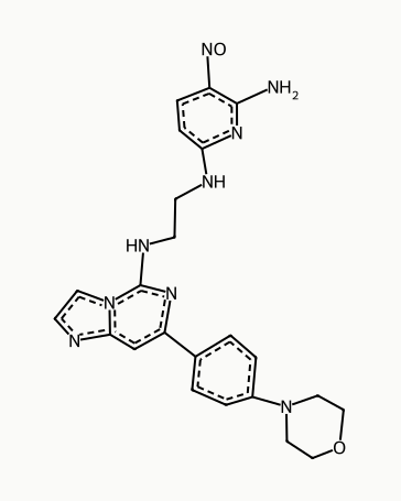 Nc1nc(NCCNc2nc(-c3ccc(N4CCOCC4)cc3)cc3nccn23)ccc1N=O